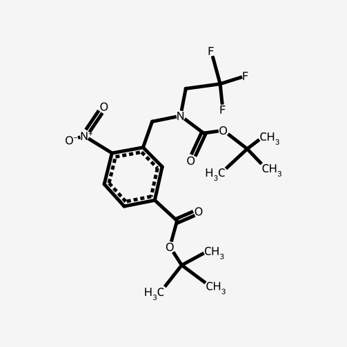 CC(C)(C)OC(=O)c1ccc([N+](=O)[O-])c(CN(CC(F)(F)F)C(=O)OC(C)(C)C)c1